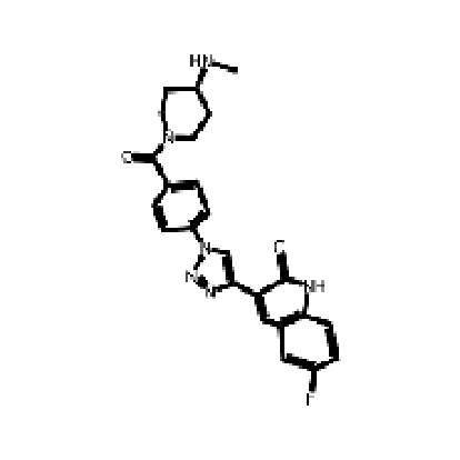 CNC1CCN(C(=O)c2ccc(-n3cc(-c4cc5cc(F)ccc5[nH]c4=O)nn3)cc2)CC1